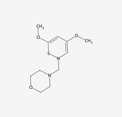 COC1=CN(CN2CCOCC2)SC(OC)=C1